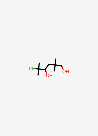 CC(C)(CO)CC(O)C(C)(C)Cl